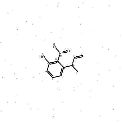 C=C[C](C)c1cccc(O)c1[N+](=O)[O-]